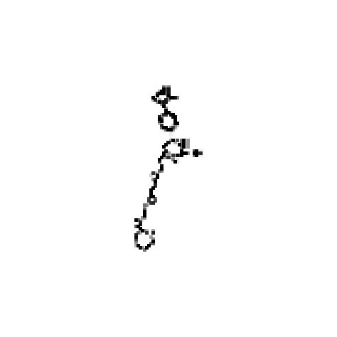 Cc1ncsc1-c1ccc([C@H](COCCOCCOCCOC2CCCCO2)NC(=O)O)cc1